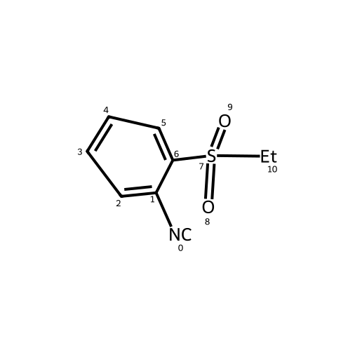 [C-]#[N+]c1ccccc1S(=O)(=O)CC